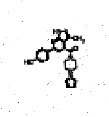 Cc1n[nH]c2nc(-c3ccc(O)cc3)cc(C(=O)N3CCN(n4cccc4)CC3)c12